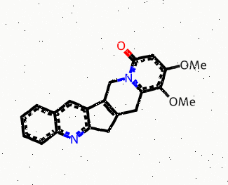 COc1cc(=O)n2c(c1OC)CC1=C(C2)c2cc3ccccc3nc2C1